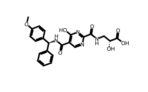 COc1ccc([C@@H](NC(=O)c2cnc(C(=O)NC[C@@H](O)C(=O)O)nc2O)c2ccccc2)cc1